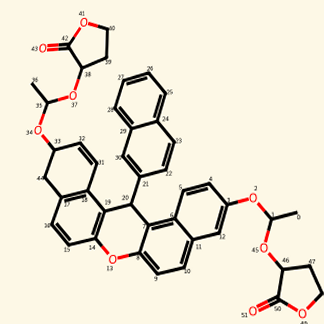 CC(Oc1ccc2c3c(ccc2c1)Oc1ccc2c(c1C3c1ccc3ccccc3c1)C=CC(OC(C)OC1CCOC1=O)C2)OC1CCOC1=O